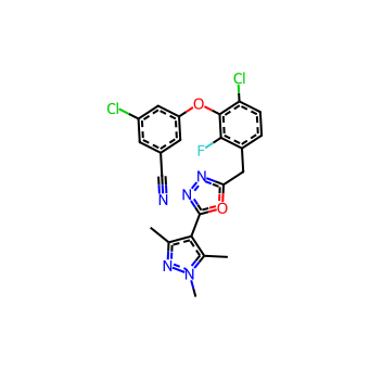 Cc1nn(C)c(C)c1-c1nnc(Cc2ccc(Cl)c(Oc3cc(Cl)cc(C#N)c3)c2F)o1